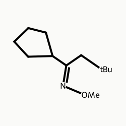 CO/N=C(\CC(C)(C)C)C1CCCC1